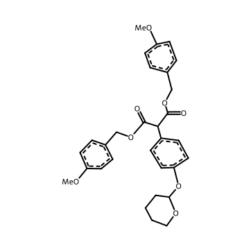 COc1ccc(COC(=O)C(C(=O)OCc2ccc(OC)cc2)c2ccc(OC3CCCCO3)cc2)cc1